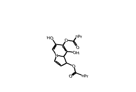 CCCC(=O)OC1=C(O)C2C(OC(=O)CCC)C=CN2C=C1O